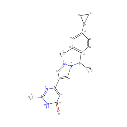 Cc1nc(-c2cnn(C(C)c3ccc(C4CC4)cc3C)c2)cc(=O)[nH]1